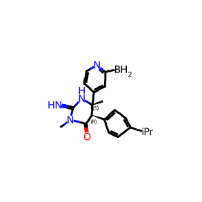 Bc1cc([C@@]2(C)NC(=N)N(C)C(=O)[C@@H]2c2ccc(C(C)C)cc2)ccn1